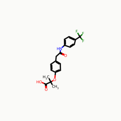 CC(C)(Oc1ccc(CC(=O)Nc2ccc(C(F)(F)F)cc2)cc1)C(=O)O